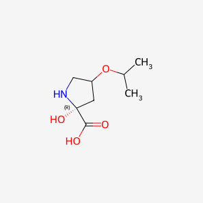 CC(C)OC1CN[C@](O)(C(=O)O)C1